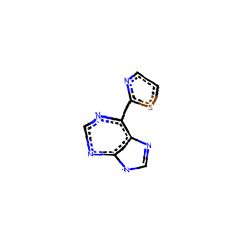 C1=Nc2c(ncnc2-c2nccs2)[N]1